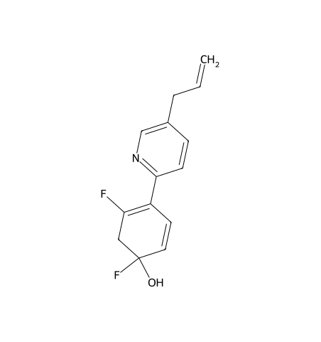 C=CCc1ccc(C2=C(F)CC(O)(F)C=C2)nc1